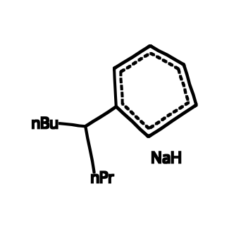 CCCCC(CCC)c1ccccc1.[NaH]